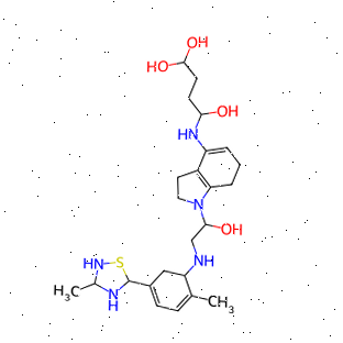 CC1=CC=C(C2NC(C)NS2)CC1NCC(O)N1CCC2=C1CCC=C2NC(O)CCC(O)O